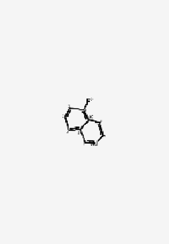 Fc1cccc2cnccc12